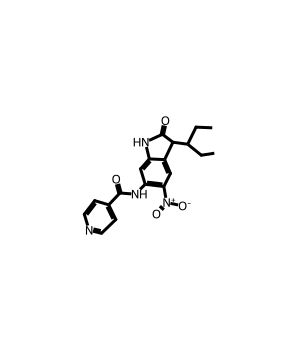 CCC(CC)C1C(=O)Nc2cc(NC(=O)c3ccncc3)c([N+](=O)[O-])cc21